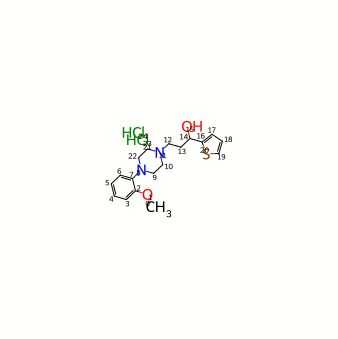 COc1ccccc1N1CCN(CCC(O)c2cccs2)CC1.Cl.Cl